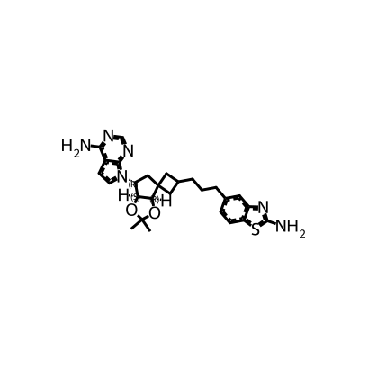 CC1(C)O[C@H]2[C@H](n3ccc4c(N)ncnc43)CC3(CC(CCCc4ccc5sc(N)nc5c4)C3)[C@H]2O1